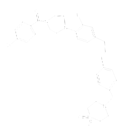 CCc1ccc(C(=O)N2CCN(c3ccc(C[C@H](C)Cc4ccc(CN5CCS(=O)(=O)CC5)cc4)cc3F)CC2)cc1